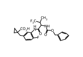 CC(C(NC(=O)OCc1ccccc1)C(=O)Nc1cc(CC2(C(=O)O)CC2)ccc1F)C(F)(F)F